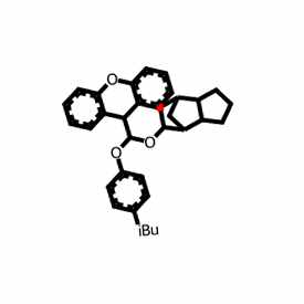 CCC(C)c1ccc(OC(OC2CC3CC2C2CCCC32)C2c3ccccc3Oc3ccccc32)cc1